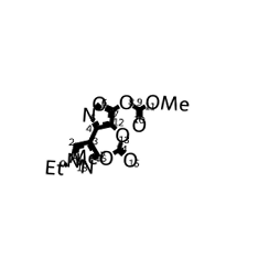 CCn1cc(-c2noc(OC(=O)OC)c2OC(=O)OC)cn1